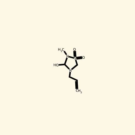 C=CCN1CS(=O)(=O)N(C)C1O